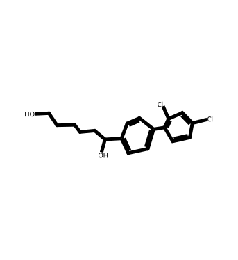 OCCCCCC(O)c1ccc(-c2ccc(Cl)cc2Cl)cc1